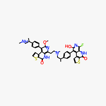 CNCC(C)c1ccc(-c2c(OC)nc(CCN(C)CC(C)c3ccc(-c4c(O)nc(F)c5[nH]c(=O)c6sccc6c45)cc3)c3[nH]c(=O)c4sccc4c23)cc1